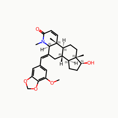 COc1cc(C=C2C[C@@H]3[C@H](CC[C@]4(C)[C@@H](O)CC[C@@H]34)[C@@]3(C)C=CC(=O)N(C)[C@H]23)cc2c1OCO2